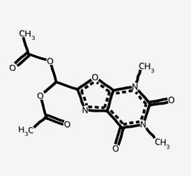 CC(=O)OC(OC(C)=O)c1nc2c(=O)n(C)c(=O)n(C)c2o1